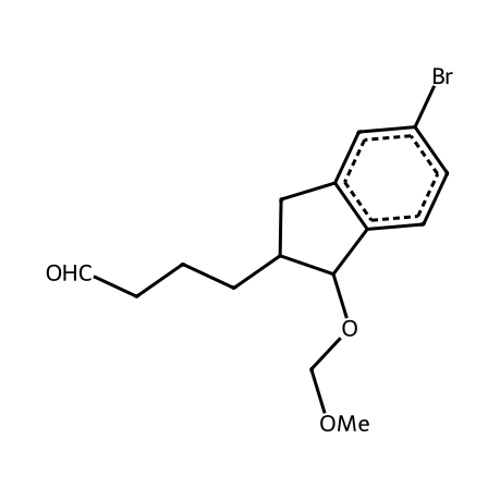 COCOC1c2ccc(Br)cc2CC1CCCC=O